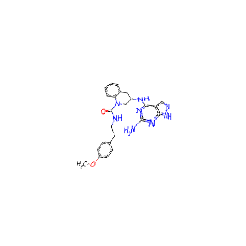 COc1ccc(CCNC(=O)N2CC(Nc3nc(N)nc4[nH]ncc34)Cc3ccccc32)cc1